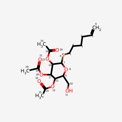 C=CCCCCSC1OC(CO)C(OC(C)=O)C(OC(C)=O)C1OC(C)=O